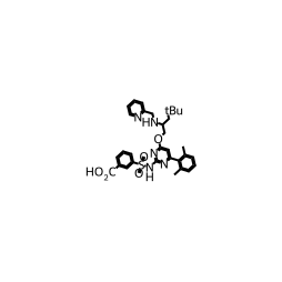 Cc1cccc(C)c1-c1cc(OCC(CC(C)(C)C)NCc2ccccn2)nc(NS(=O)(=O)c2cccc(C(=O)O)c2)n1